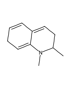 CC1CC=C2C=CCC=C2N1C